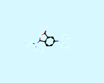 CN(C)c1ccc2c(c1)C(=O)OC2N(C)C